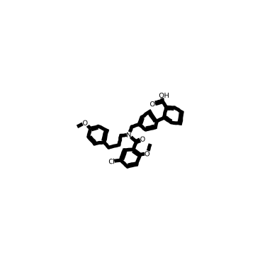 COc1ccc(CCCN(Cc2ccc(-c3ccccc3C(=O)O)cc2)C(=O)c2cc(Cl)ccc2OC)cc1